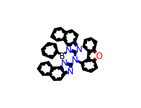 c1ccc(B2n3c(nc4ccc5ccccc5c43)N(c3cccc4oc5ccccc5c34)c3nc4ccc5ccccc5c4n32)cc1